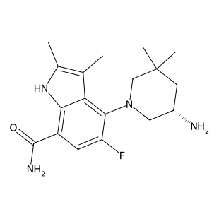 Cc1[nH]c2c(C(N)=O)cc(F)c(N3C[C@@H](N)CC(C)(C)C3)c2c1C